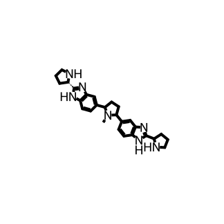 CN1C(c2ccc3[nH]c(C4CCCN4)nc3c2)CCC1c1ccc2[nH]c([C@@H]3CCCN3)nc2c1